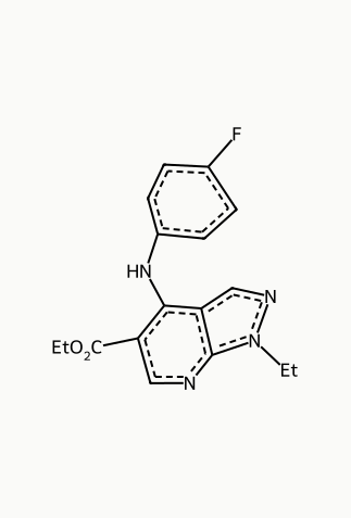 CCOC(=O)c1cnc2c(cnn2CC)c1Nc1ccc(F)cc1